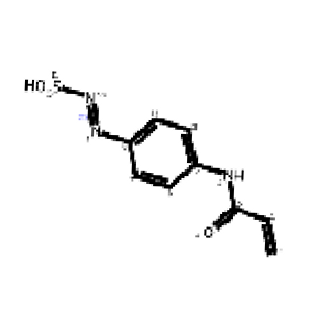 C=CC(=O)Nc1ccc(/N=N/S(=O)(=O)O)cc1